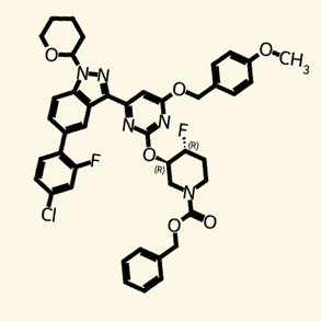 COc1ccc(COc2cc(-c3nn(C4CCCCO4)c4ccc(-c5ccc(Cl)cc5F)cc34)nc(O[C@@H]3CN(C(=O)OCc4ccccc4)CC[C@H]3F)n2)cc1